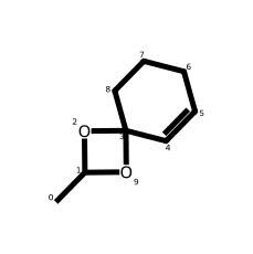 CC1OC2(C=CCCC2)O1